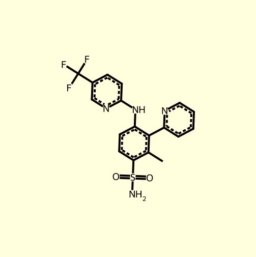 Cc1c(S(N)(=O)=O)ccc(Nc2ccc(C(F)(F)F)cn2)c1-c1ccccn1